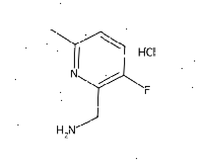 Cc1ccc(F)c(CN)n1.Cl